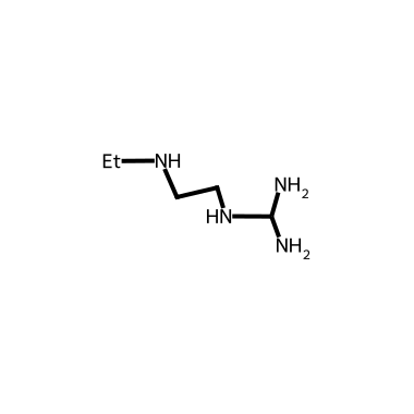 CCNCCNC(N)N